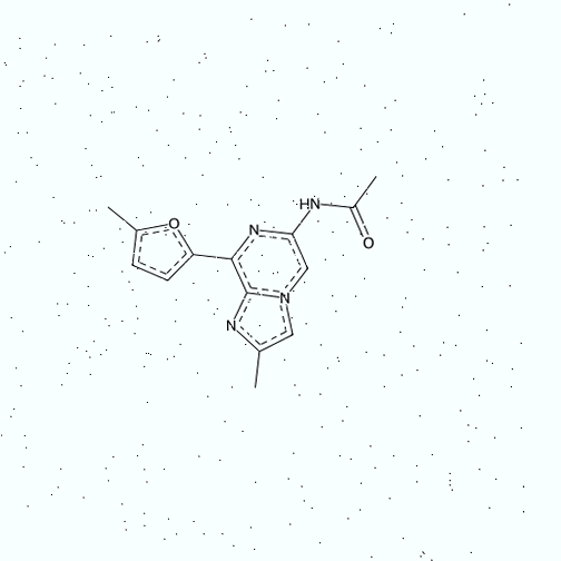 CC(=O)Nc1cn2cc(C)nc2c(-c2ccc(C)o2)n1